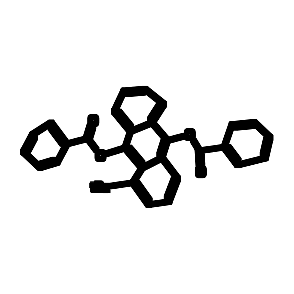 CC(C)(C)c1cccc2c(OC(=O)c3ccccc3)c3ccccc3c(OC(=O)c3ccccc3)c12